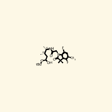 C[C@H](NC(=O)CN1C(=O)C(C)(C)c2c(F)c(C(F)(F)F)cc(F)c21)[C@@H](C)CC(O)OC(C)(C)C